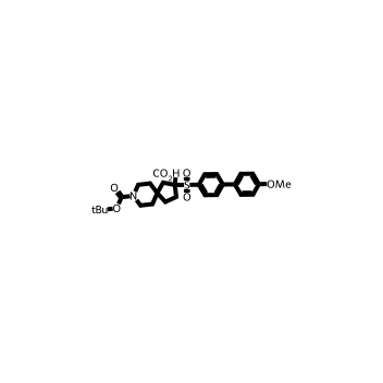 COc1ccc(-c2ccc(S(=O)(=O)C3(C(=O)O)CCC4(CCN(C(=O)OC(C)(C)C)CC4)C3)cc2)cc1